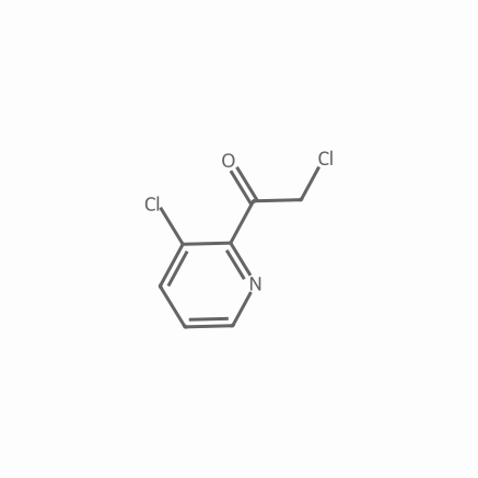 O=C(CCl)c1ncccc1Cl